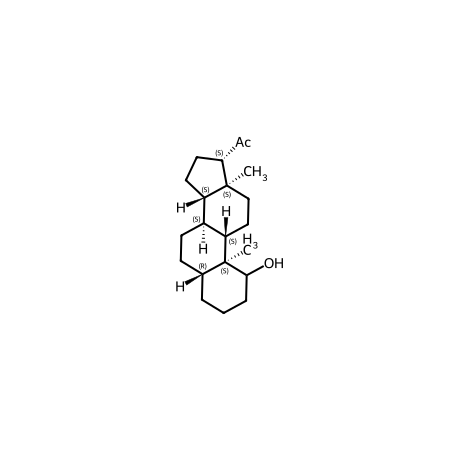 CC(=O)[C@H]1CC[C@H]2[C@@H]3CC[C@H]4CCCC(O)[C@]4(C)[C@H]3CC[C@]12C